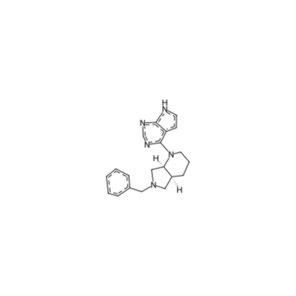 c1ccc(CN2C[C@@H]3CCCN(c4ncnc5[nH]ccc45)[C@@H]3C2)cc1